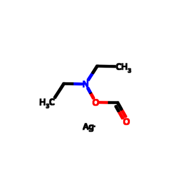 CCN(CC)OC=O.[Ag]